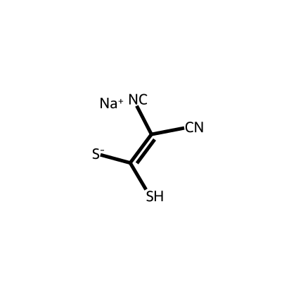 N#CC(C#N)=C([S-])S.[Na+]